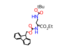 CCOC(=O)[C@H](CCNC(=O)OC(C)(C)C)NC(=O)OCC1c2ccccc2-c2ccccc21